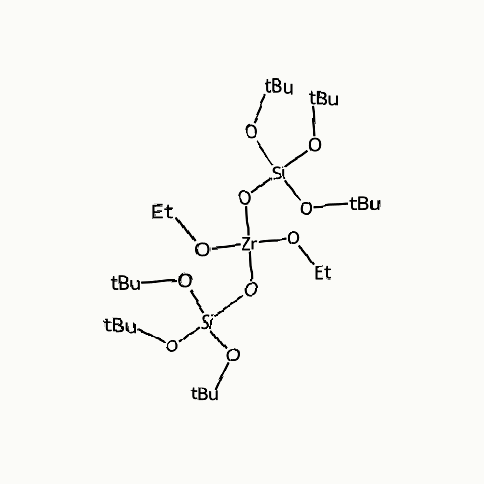 CC[O][Zr]([O]CC)([O][Si](OC(C)(C)C)(OC(C)(C)C)OC(C)(C)C)[O][Si](OC(C)(C)C)(OC(C)(C)C)OC(C)(C)C